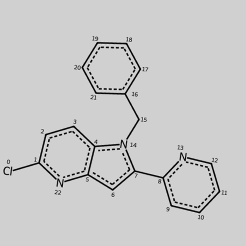 Clc1ccc2c(cc(-c3ccccn3)n2Cc2ccccc2)n1